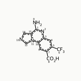 Nc1nc2cc(C(F)(F)F)c(C(=O)O)cc2n2cncc12